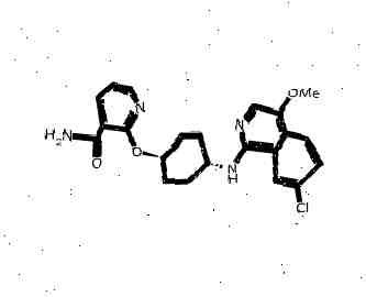 COc1cnc(N[C@H]2CC[C@H](Oc3ncccc3C(N)=O)CC2)c2cc(Cl)ccc12